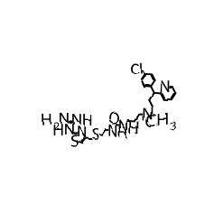 CN(CCCNC(=O)NCCSCc1csc(NC(=N)N)n1)CCC(c1ccc(Cl)cc1)c1ccccn1